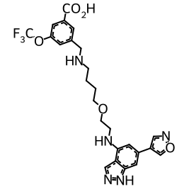 O=C(O)c1cc(CNCCCCOCCNc2cc(-c3cnoc3)cc3[nH]ncc23)cc(OC(F)(F)F)c1